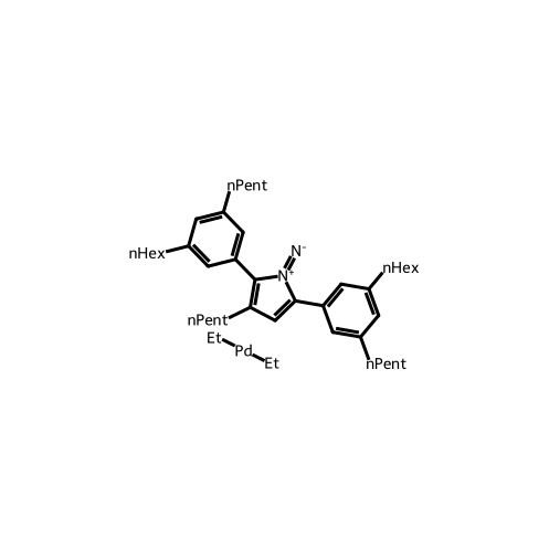 CCCCCCc1cc(CCCCC)cc(C2=CC(CCCCC)=C(c3cc(CCCCC)cc(CCCCCC)c3)[N+]2=[N-])c1.C[CH2][Pd][CH2]C